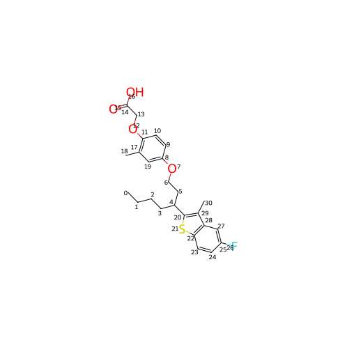 CCCCC(CCOc1ccc(OCC(=O)O)c(C)c1)c1sc2ccc(F)cc2c1C